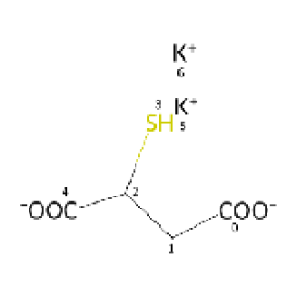 O=C([O-])CC(S)C(=O)[O-].[K+].[K+]